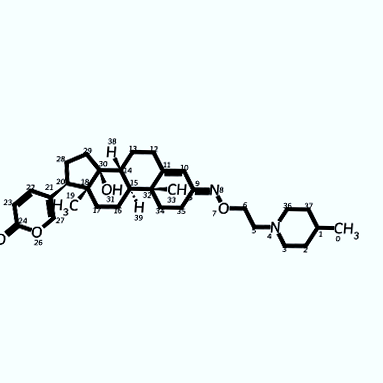 CC1CCN(CCO/N=C2/C=C3CC[C@@H]4[C@H](CC[C@]5(C)[C@@H](c6ccc(=O)oc6)CC[C@]45O)[C@@]3(C)CC2)CC1